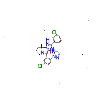 Cc1c(Cl)cccc1-c1nnc(C2(C)CCCN2C(=O)c2cc(Cl)ccc2-n2nccn2)[nH]1